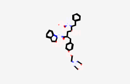 COC(=O)NC(Cc1ccccc1)C(O)CC(Cc1ccc(OCCN2CCOCC2)cc1)C(=O)NC1c2ccccc2CC1O